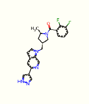 C[C@@H]1C[C@H](Cn2ccc3cc(-c4cn[nH]c4)ncc32)CN1C(=O)c1cccc(F)c1F